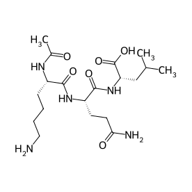 CC(=O)N[C@@H](CCCCN)C(=O)N[C@@H](CCC(N)=O)C(=O)N[C@@H](CC(C)C)C(=O)O